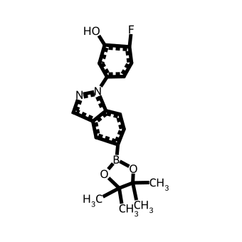 CC1(C)OB(c2ccc3c(cnn3-c3ccc(F)c(O)c3)c2)OC1(C)C